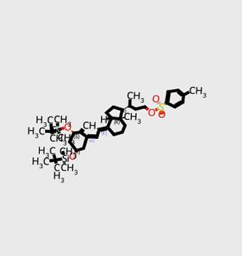 C=C1/C(=C\C=C2/CCC[C@]3(C)[C@@H](C(C)CCOS(=O)(=O)c4ccc(C)cc4)CC[C@@H]23)C[C@@H](O[Si](C)(C)C(C)(C)C)C[C@@H]1O[Si](C)(C)C(C)(C)C